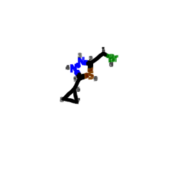 BrCc1nnc(C2CC2)s1